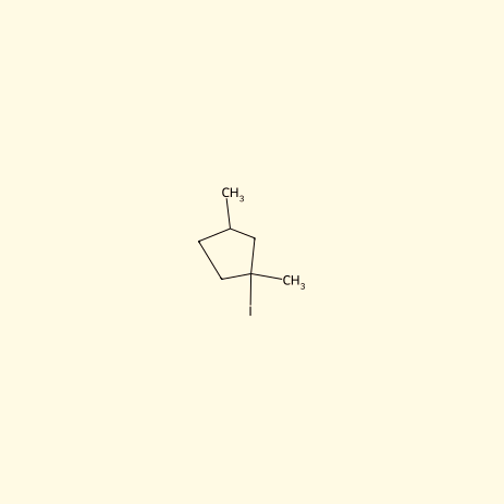 CC1CCC(C)(I)C1